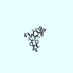 CN(CC1COc2cscc2O1)c1ccc(S(=O)(=O)[O-])cc1.[K+]